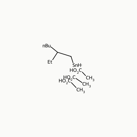 CC(=O)O.CC(=O)O.CC(=O)O.CCCCC(CC)[CH2][SnH]